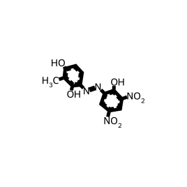 Cc1c(O)ccc(/N=N/c2cc([N+](=O)[O-])cc([N+](=O)[O-])c2O)c1O